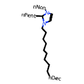 CCCCCCCCCCCCCCCCCCCN1C=CN(CCCCCCCCC)C1CCCCC